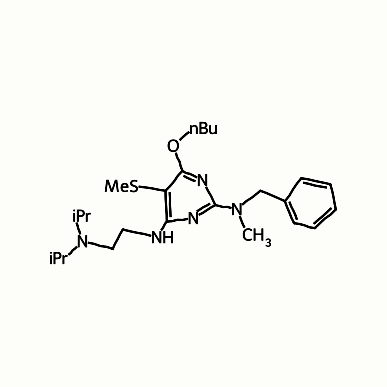 CCCCOc1nc(N(C)Cc2ccccc2)nc(NCCN(C(C)C)C(C)C)c1SC